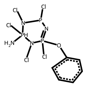 N[PH]1(Cl)N(Cl)P(Cl)N=P(Cl)(Oc2ccccc2)N1Cl